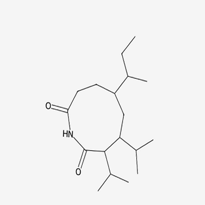 CCC(C)C1CCC(=O)NC(=O)C(C(C)C)C(C(C)C)C1